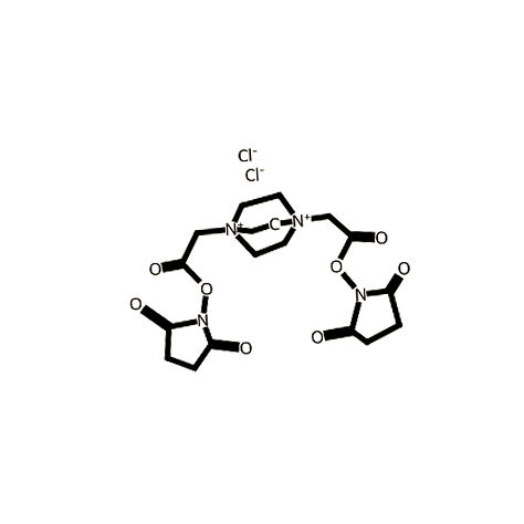 O=C(C[N+]12CC[N+](CC(=O)ON3C(=O)CCC3=O)(CC1)CC2)ON1C(=O)CCC1=O.[Cl-].[Cl-]